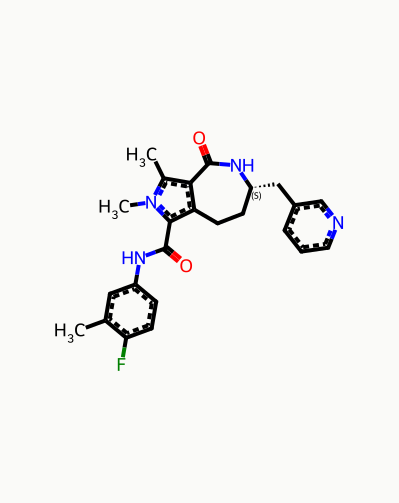 Cc1cc(NC(=O)c2c3c(c(C)n2C)C(=O)N[C@H](Cc2cccnc2)CC3)ccc1F